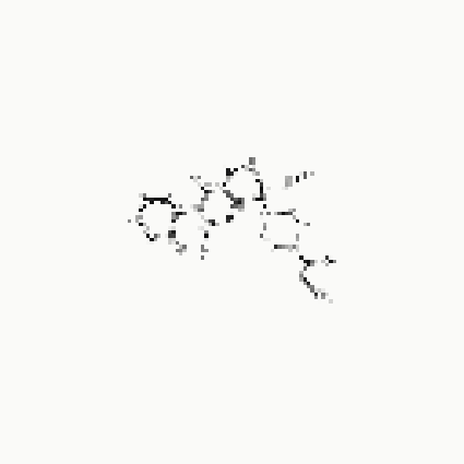 C=CC(=O)N1CCN(c2c(C#N)cnc3c(F)c(-c4ccccc4F)c(Cl)cc23)CC1